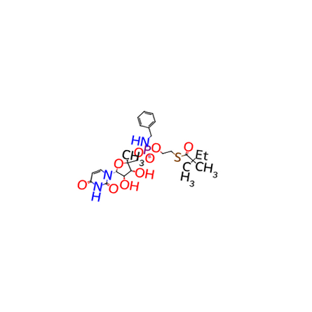 CCC(C)(C)C(=O)SCCOP(=O)(NCc1ccccc1)OC[C@@]1(C)O[C@@H](n2ccc(=O)[nH]c2=O)[C@H](O)[C@@H]1O